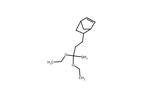 CCOC([SiH3])(CCC1CC2C=CC1C2)OCC